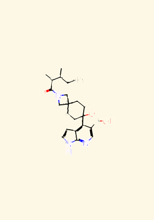 CC(C)CC(C)C(C)C(=O)N1CC2(CCC3(CC2)OB(O)c2cnc4[nH]ccc4c23)C1